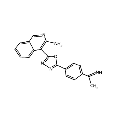 CC(=N)c1ccc(-c2nnc(-c3c(N)ncc4ccccc34)o2)cc1